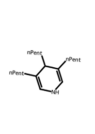 CCCCCC1=CNC=C(CCCCC)C1CCCCC